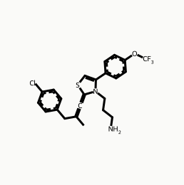 CC(=C=C1SC=C(c2ccc(OC(F)(F)F)cc2)N1CCCN)Cc1ccc(Cl)cc1